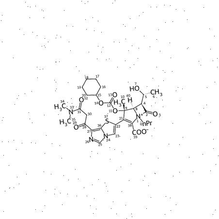 CCC[N+]12C(=O)[C@H]([C@@H](C)O)[C@@H]1[C@@](C)(OC(=O)OC1CCCCC1)C(c1cn3cnc(C(=O)CC(=O)N(C)C)c3s1)=C2C(=O)[O-]